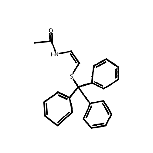 CC(=O)N/C=C\SC(c1ccccc1)(c1ccccc1)c1ccccc1